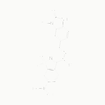 CCN(/N=C/c1ccc2[nH]c(=O)n(CC)c2c1)C1=NS(=O)(=O)c2cc(B(O)O)ccc21